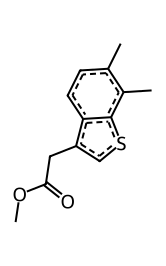 COC(=O)Cc1csc2c(C)c(C)ccc12